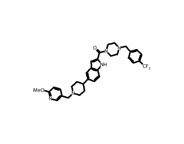 COc1ccc(CN2CCC(c3ccc4[nH]c(C(=O)N5CCN(Cc6ccc(C(F)(F)F)cc6)CC5)cc4c3)CC2)cn1